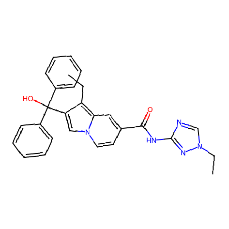 CCc1c(C(O)(c2ccccc2)c2ccccc2)cn2ccc(C(=O)Nc3ncn(CC)n3)cc12